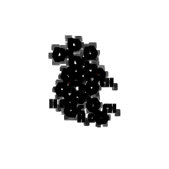 Cc1cccc(C)c1-c1ccc(N2c3ccc(-c4c(C)cccc4C)cc3B3c4cc5c(cc4N(c4c(-c6ccccc6)cccc4-c4ccccc4)c4cc(-c6c(C)cccc6C)cc2c43)Oc2cc(N(c3ccccc3)c3ccccc3)cc3c2B5c2ccccc2N3c2ccccc2)cc1